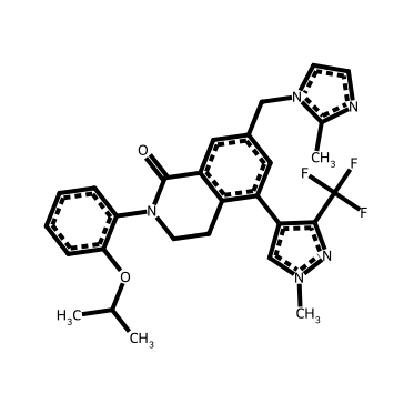 Cc1nccn1Cc1cc2c(c(-c3cn(C)nc3C(F)(F)F)c1)CCN(c1ccccc1OC(C)C)C2=O